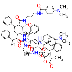 CCC(c1ccccc1)C(C(=O)NCCCNC(=O)c1ccc(N(C)C)cc1)C(CC(c1ccccc1)C1C(=O)N(CCCNC(=O)c2ccc(N(C)C)cc2)C(=O)C1CC(c1ccccc1)C1C(=O)N(CC(C)C)C(=O)C1CC(c1ccccc1)C(C(=O)NC(C)C)C(CC(c1ccccc1)C1C(=O)OC(=O)C1C)C(=O)O)C(=O)O